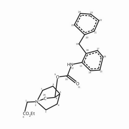 CCOC(=O)C[N+]12CCC(CC1)C(OC(=O)Nc1ccccc1Cc1ccccc1)C2